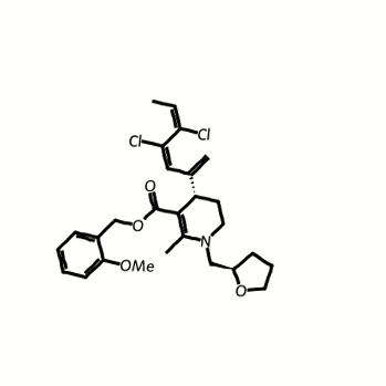 C=C(/C=C(Cl)\C(Cl)=C/C)[C@@H]1CCN(C[C@H]2CCCO2)C(C)=C1C(=O)OCc1ccccc1OC